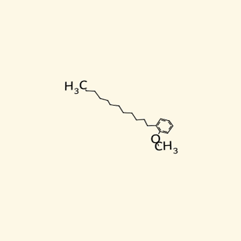 CCCCCCCCCCCCc1ccccc1OC